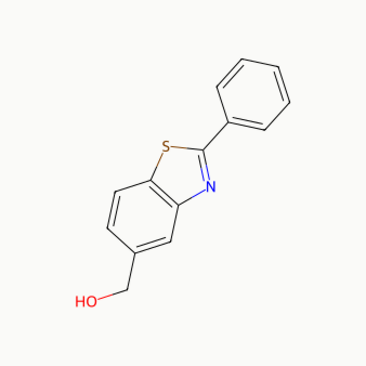 OCc1ccc2sc(-c3ccccc3)nc2c1